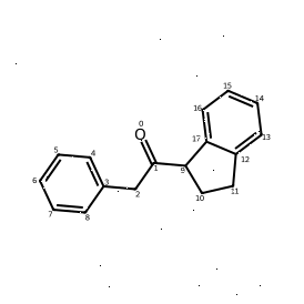 O=C(Cc1ccccc1)C1CCc2ccccc21